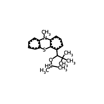 CN1c2ccc[c]c2Sc2c(C(O[SiH](C)C)C(C)(C)C)cccc21